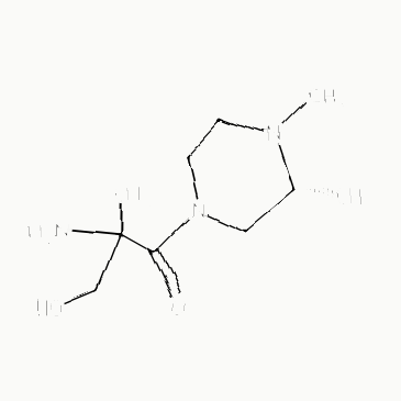 C[C@@H]1CN(C(=O)C(C)(N)CO)CCN1C